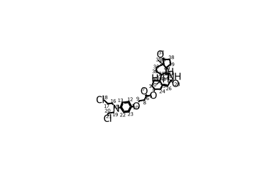 C[C@]12CC[C@H](OC(=O)CCOc3ccc(N(CCCl)CCCl)cc3)CC1=CC(=O)N[C@@H]1[C@@H]2CC[C@]2(C)C(=O)CC[C@@H]12